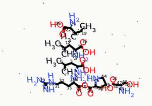 CC(C)C[C@H](N)C(=O)O.CC(C)C[C@H](N)C(=O)O.CC[C@H](C)[C@H](N)C(=O)O.N=C(N)NCCC[C@H](N)C(=O)OC(=O)[C@@H]1CCCN1.N[C@@H](CO)C(=O)O